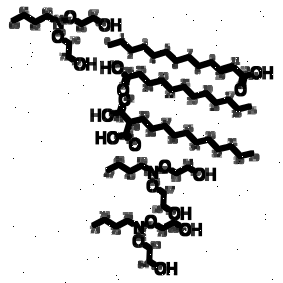 CCCCCCCCCCC=CC(=O)O.CCCCCCCCCCCC(=O)O.CCCCCCCCCCCC(C(=O)O)C(=O)O.CCCCN(OCCO)OCCO.CCCCN(OCCO)OCCO.CCCCN(OCCO)OCCO